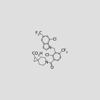 O=C(O)C1CC12CCN(C(=O)c1ccc(C(F)(F)F)c(Cn3ccc4cc(C(F)(F)F)cc(Cl)c43)c1Cl)CC2